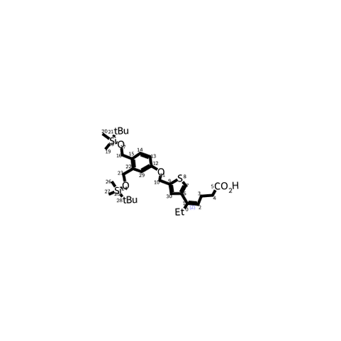 CC/C(=C/CCC(=O)O)c1csc(COc2ccc(CO[Si](C)(C)C(C)(C)C)c(CO[Si](C)(C)C(C)(C)C)c2)c1